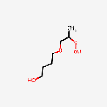 CC(COCCCCO)OO